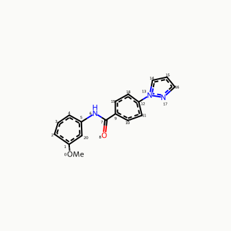 COc1cccc(NC(=O)c2ccc(-n3cccn3)cc2)c1